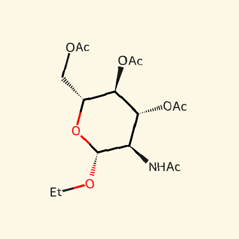 CCO[C@@H]1O[C@H](COC(C)=O)[C@@H](OC(C)=O)[C@H](OC(C)=O)[C@H]1NC(C)=O